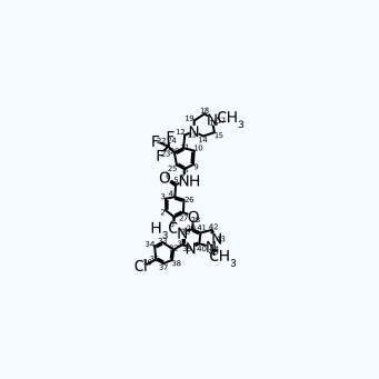 Cc1ccc(C(=O)Nc2ccc(CN3CCN(C)CC3)c(C(F)(F)F)c2)cc1Oc1nc(-c2ccc(Cl)cc2)nc2c1cnn2C